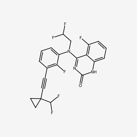 O=c1nc(N(CC(F)F)c2cccc(C#CC3(C(F)F)CC3)c2F)c2c(F)cccc2[nH]1